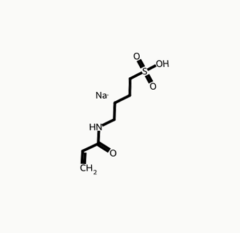 C=CC(=O)NCCCCS(=O)(=O)O.[Na]